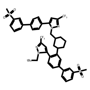 CC(C)(C)Cn1nc(C(F)(F)F)cc1-c1ccc(-c2cccc(S(C)(=O)=O)c2)cc1C1CCCC(Cn2nc(C(F)(F)F)cc2-c2ccc(-c3cccc(S(C)(=O)=O)c3)cc2)C1